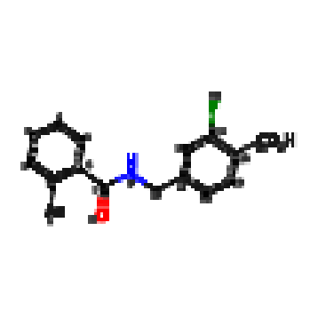 CC(=O)c1ccccc1C(=O)NCc1ccc(C(=O)O)c(F)c1